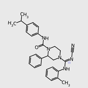 Cc1ccccc1N/C(=N/C#N)N1CCN(C(=O)Nc2ccc(C(C)C)cc2)C(c2ccccc2)C1